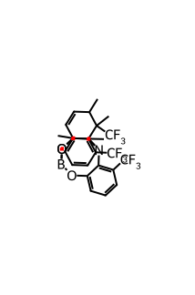 CC1C=CC2(C)OB3Oc4cccc(C(F)(F)F)c4N(c4c(cccc4C(F)(F)F)O3)C2(C)C1(C)C(F)(F)F